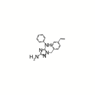 C=Cc1ccc(Cn2nc(N)nc2Nc2ccccc2)cc1